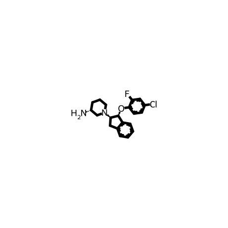 N[C@@H]1CCCN([C@@H]2Cc3ccccc3[C@@H]2Oc2ccc(Cl)cc2F)C1